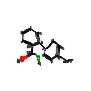 CCCc1ccc(-c2ccccc2C(=O)Cl)cc1